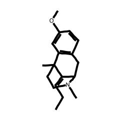 CCC=C1C2Cc3ccc(OC)cc3C1(C)CCN2C